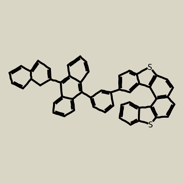 C1=CC2=CC=C(c3c4ccccc4c(-c4cccc(-c5ccc6sc7ccc8ccc9sc%10ccccc%10c9c8c7c6c5)c4)c4ccccc34)CC2C=C1